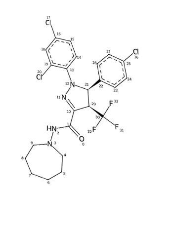 O=C(NN1CCCCCC1)C1=NN(c2ccc(Cl)cc2Cl)[C@@H](c2ccc(Cl)cc2)[C@H]1C(F)(F)F